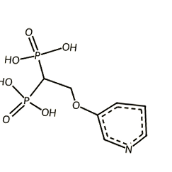 O=P(O)(O)C(COc1cccnc1)P(=O)(O)O